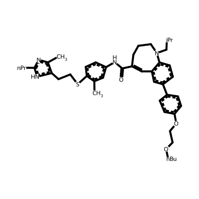 CCCCOCCOc1ccc(-c2ccc3c(c2)/C=C(/C(=O)Nc2ccc(SCCc4[nH]c(CCC)nc4C)c(C)c2)CCCN3CC(C)C)cc1